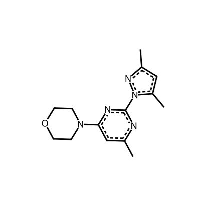 Cc1cc(N2CCOCC2)nc(-n2nc(C)cc2C)n1